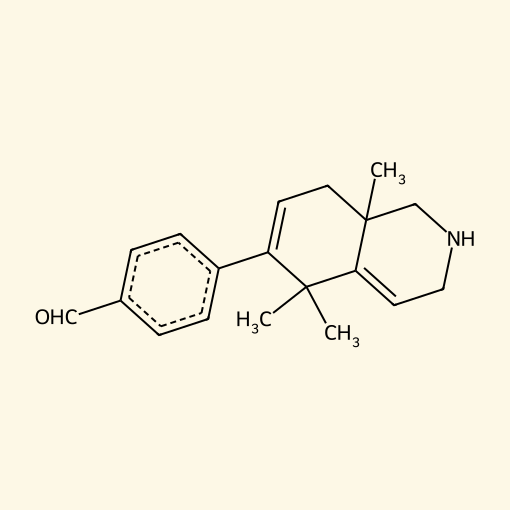 CC12CC=C(c3ccc(C=O)cc3)C(C)(C)C1=CCNC2